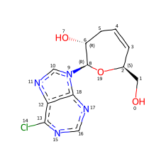 OC[C@@H]1C=CC[C@@H](O)[C@H](n2cnc3c(Cl)ncnc32)O1